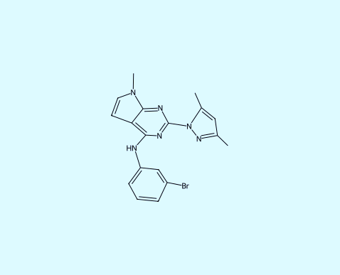 Cc1cc(C)n(-c2nc(Nc3cccc(Br)c3)c3ccn(C)c3n2)n1